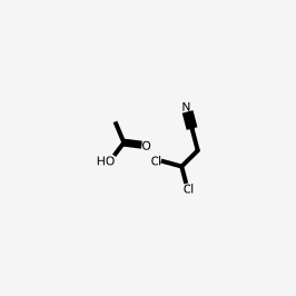 CC(=O)O.N#CCC(Cl)Cl